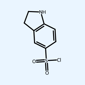 O=S(=O)(Cl)c1ccc2c(c1)CCN2